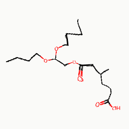 CCCCOC(COC(=O)CC(C)CCC(=O)O)OCCCC